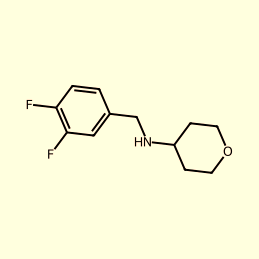 Fc1ccc(CNC2CCOCC2)cc1F